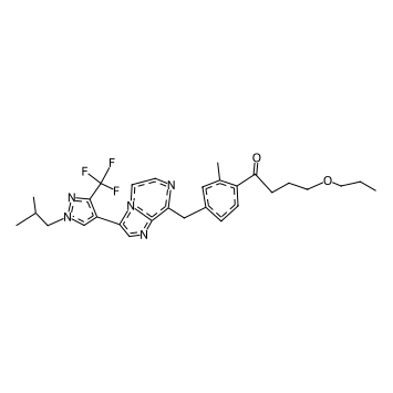 CCCOCCCC(=O)c1ccc(Cc2nccn3c(-c4cn(CC(C)C)nc4C(F)(F)F)cnc23)cc1C